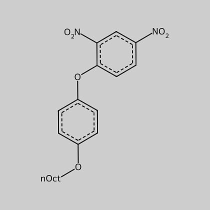 CCCCCCCCOc1ccc(Oc2ccc([N+](=O)[O-])cc2[N+](=O)[O-])cc1